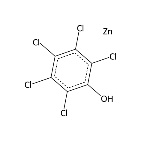 Oc1c(Cl)c(Cl)c(Cl)c(Cl)c1Cl.[Zn]